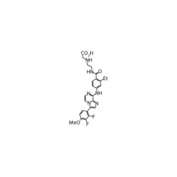 CCc1cc(Nc2nccn3c(-c4ccc(OC)c(F)c4F)cnc23)ccc1C(=O)NCCNCC(=O)O